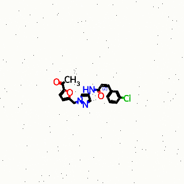 CC(=O)c1ccc(Cn2cc(NC(=O)/C=C\c3cccc(Cl)c3)cn2)o1